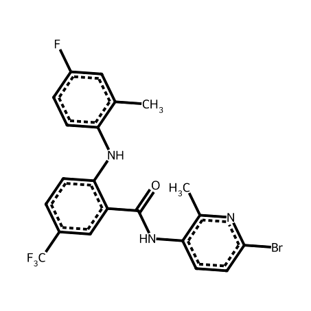 Cc1cc(F)ccc1Nc1ccc(C(F)(F)F)cc1C(=O)Nc1ccc(Br)nc1C